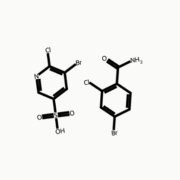 NC(=O)c1ccc(Br)cc1Cl.O=S(=O)(O)c1cnc(Cl)c(Br)c1